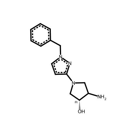 NC1CN(c2ccn(Cc3ccccc3)n2)C[C@H]1O